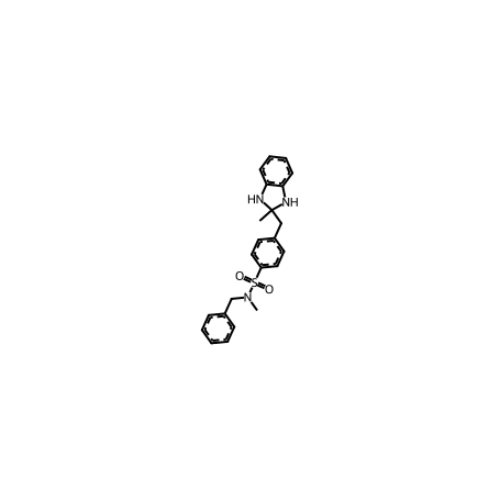 CN(Cc1ccccc1)S(=O)(=O)c1ccc(CC2(C)Nc3ccccc3N2)cc1